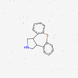 c1ccc2c(c1)Sc1ccccc1C1CNCC21